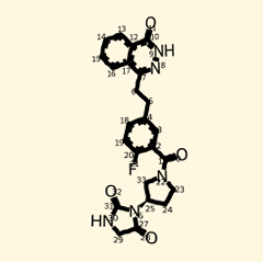 O=C(c1cc(CCc2n[nH]c(=O)c3ccccc23)ccc1F)N1CC[C@@H](N2C(=O)CNC2=O)C1